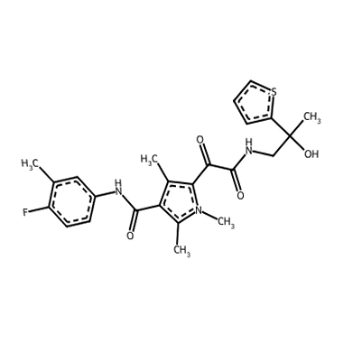 Cc1cc(NC(=O)c2c(C)c(C(=O)C(=O)NCC(C)(O)c3cccs3)n(C)c2C)ccc1F